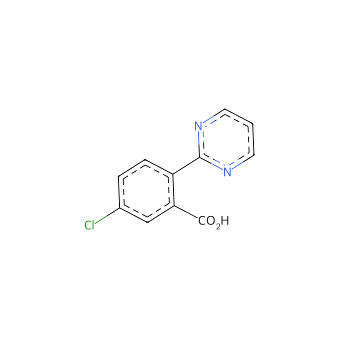 O=C(O)c1cc(Cl)ccc1-c1ncccn1